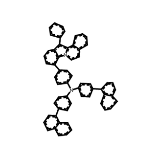 c1ccc(-c2c3cccc(-c4ccc(N(c5ccc(-c6cccc7ccccc67)cc5)c5ccc(-c6cccc7ccccc67)cc5)cc4)c3n3ccc4ccccc4c23)cc1